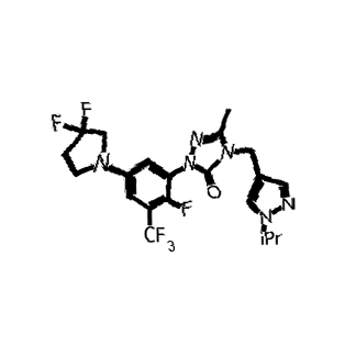 Cc1nn(-c2cc(N3CCC(F)(F)C3)cc(C(F)(F)F)c2F)c(=O)n1Cc1cnn(C(C)C)c1